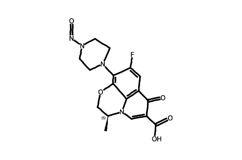 C[C@H]1COc2c(N3CCN(N=O)CC3)c(F)cc3c(=O)c(C(=O)O)cn1c23